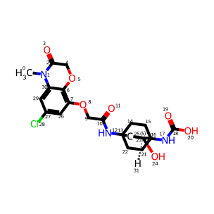 CN1C(=O)COc2c(OCC(=O)NC34CCC(NC(=O)O)(CC3)[C@@H](O)C4)cc(Cl)cc21